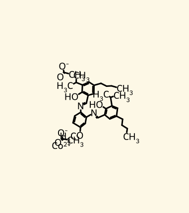 CC(=O)[O-].CC(=O)[O-].CCCCc1cc(C=Nc2ccc(OC)cc2N=Cc2cc(CCCC)cc(C(C)C)c2O)c(O)c(C(C)C)c1.[Co+2]